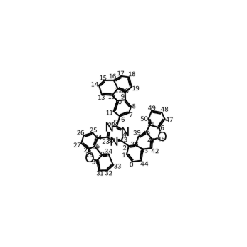 c1cc(-c2nc(-c3ccc4c(c3)-c3cccc5cccc-4c35)nc(-c3cccc4oc5ccccc5c34)n2)c2cc3c(cc2c1)oc1ccccc13